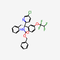 O=C(N[C@](Cc1ccccc1)(c1cccc(OC(F)(F)C(F)F)c1)c1ccc(Cl)cn1)OCc1ccccc1